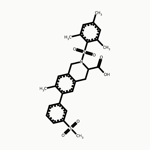 Cc1cc(C)c(S(=O)(=O)N2Cc3cc(C)c(-c4cccc(S(C)(=O)=O)c4)cc3CC2C(=O)O)c(C)c1